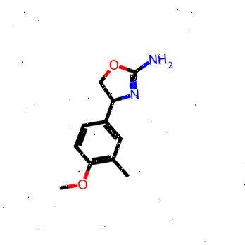 COc1ccc(C2COC(N)=N2)cc1C